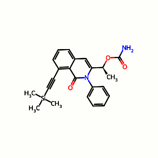 C[C@H](OC(N)=O)c1cc2cccc(C#C[Si](C)(C)C)c2c(=O)n1-c1ccccc1